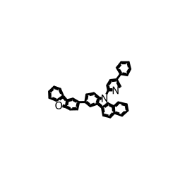 c1ccc(-c2ccc(-n3c4ccc(-c5ccc6oc7ccccc7c6c5)cc4c4ccc5ccccc5c43)nc2)cc1